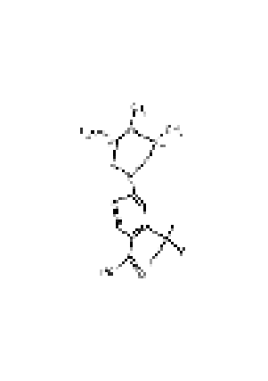 C[C@@H]1CN(c2ccc(C(=O)O)c(C(F)(F)F)c2)C[C@H](C)N1C